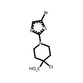 CCC1(C(=O)O)CCN(c2ncc(Br)s2)CC1